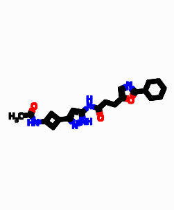 CC(=O)NC1CC(c2cc(NC(=O)CCc3cnc(C4CCCCC4)o3)[nH]n2)C1